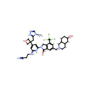 Cn1cnnc1CC1(c2cc(NCCC#N)nc(N3Cc4c(cc(CN5CCC6CC(O)CCC6C5)cc4C(F)(F)F)C3=O)c2)COC1